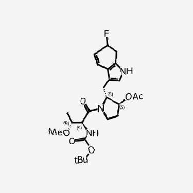 CO[C@H](C)[C@H](NC(=O)OC(C)(C)C)C(=O)N1CC[C@H](OC(C)=O)[C@H]1Cc1c[nH]c2c1C=CC(F)C2